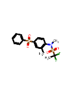 Cc1cc(S(=O)(=O)c2ccccc2)ccc1N(C)S(=O)(=O)C(C)(F)F